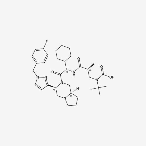 C[C@@H](CN(C(=O)O)C(C)(C)C)C(=O)N[C@H](C(=O)N1C[C@H]2CCCN2C[C@H]1c1ccn(Cc2ccc(F)cc2)n1)C1CCCCC1